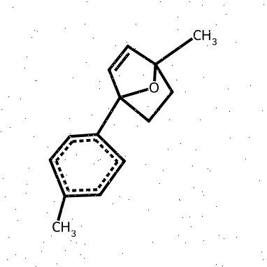 Cc1ccc(C23C=CC(C)(CC2)O3)cc1